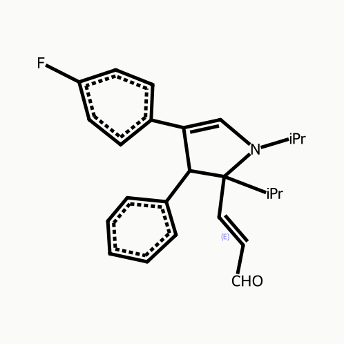 CC(C)N1C=C(c2ccc(F)cc2)C(c2ccccc2)C1(/C=C/C=O)C(C)C